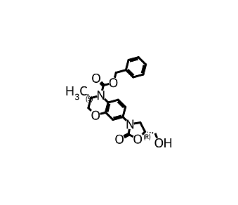 C[C@H]1COc2cc(N3C[C@H](CO)OC3=O)ccc2N1C(=O)OCc1ccccc1